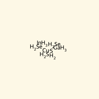 S.S.[Cu].[GaH3].[InH3].[SeH2].[SeH2]